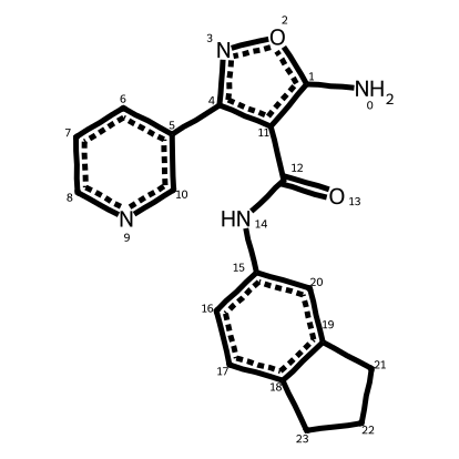 Nc1onc(-c2cccnc2)c1C(=O)Nc1ccc2c(c1)CCC2